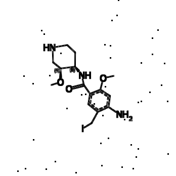 COc1cc(N)c(CI)cc1C(=O)N[C@@H]1CCNC[C@@H]1OC